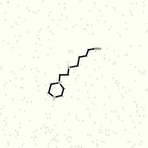 CNCCCCOCCN1CCOCC1